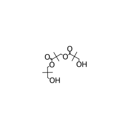 CC(C)(CO)COC(=O)C(C)(C)COC(=O)C(C)(C)CO